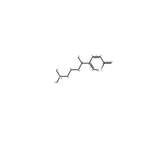 C=C(F)/C=C\C(=C/C)C(C)CCCN(C)C